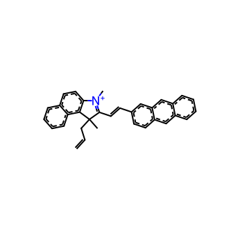 C=CCC1(C)C(/C=C/c2ccc3cc4ccccc4cc3c2)=[N+](C)c2ccc3ccccc3c21